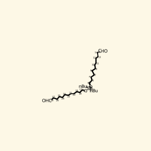 CCC[CH2][Sn]([CH2]CCC)([O]CCCCCCCCCCCC=O)[O]CCCCCCCCCCCC=O